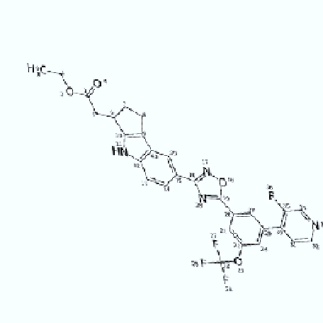 CCOC(=O)CC1CCc2c1[nH]c1ccc(-c3noc(-c4cc(OC(F)(F)F)cc(-c5ccncc5F)c4)n3)cc21